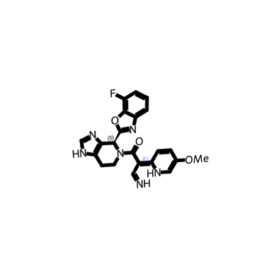 COC1=CN/C(=C(\C=N)C(=O)N2CCc3[nH]cnc3[C@H]2c2nc3cccc(F)c3o2)C=C1